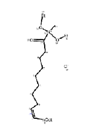 CCCCCCCC/C=C\CCCCCCCC(=O)[N+](C)(OCC)OCC.[Cl-]